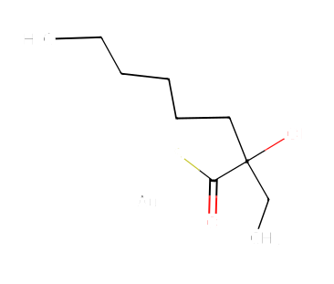 CCCCCCC(O)(CC)C(=O)[S-].[Au+]